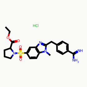 CCOC(=O)C1CCCN1S(=O)(=O)c1ccc2c(c1)nc(Cc1ccc(C(=N)N)cc1)n2C.Cl